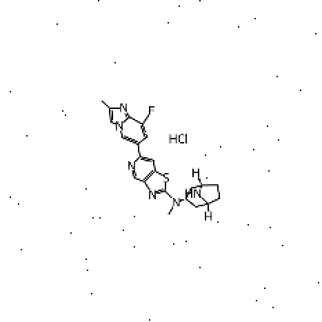 Cc1cn2cc(-c3cc4sc(N(C)[C@@H]5C[C@H]6CC[C@@H](C5)N6)nc4cn3)cc(F)c2n1.Cl